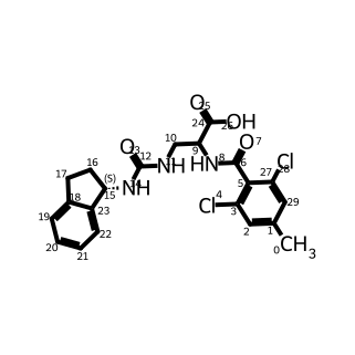 Cc1cc(Cl)c(C(=O)NC(CNC(=O)N[C@H]2CCc3ccccc32)C(=O)O)c(Cl)c1